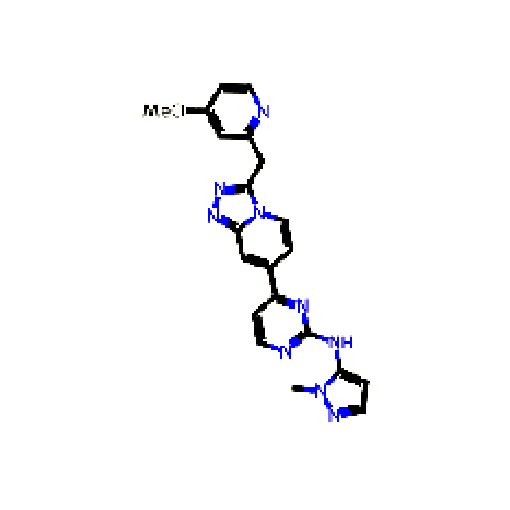 COc1ccnc(Cc2nnc3cc(-c4ccnc(Nc5ccnn5C)n4)ccn23)c1